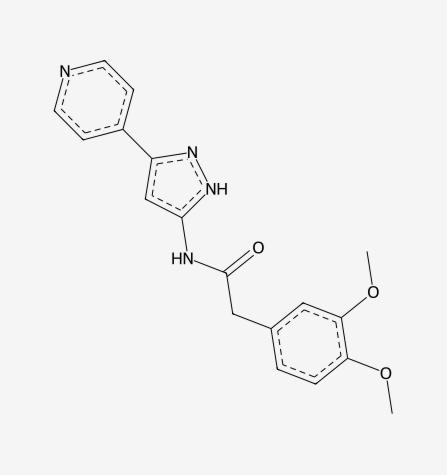 COc1ccc(CC(=O)Nc2cc(-c3ccncc3)n[nH]2)cc1OC